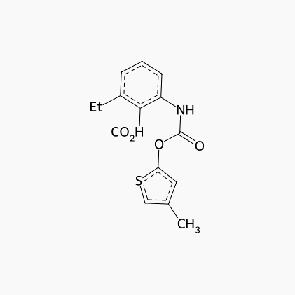 CCc1cccc(NC(=O)Oc2cc(C)cs2)c1C(=O)O